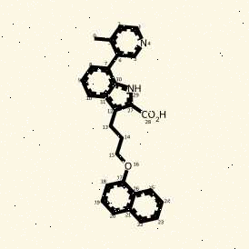 Cc1ccncc1-c1cccc2c(CCCOc3cccc4ccccc34)c(C(=O)O)[nH]c12